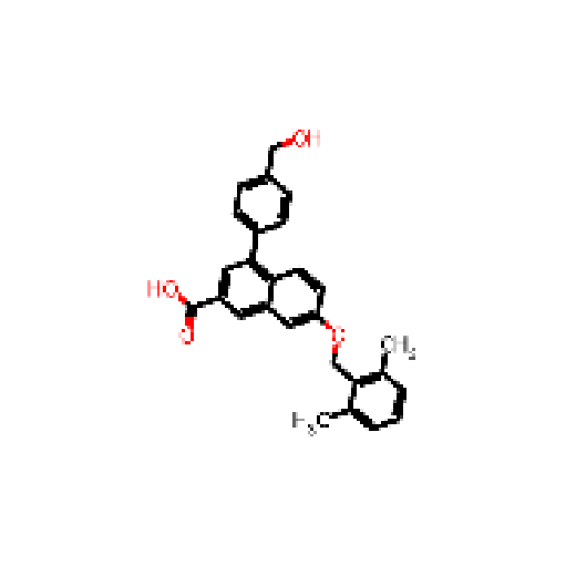 Cc1cccc(C)c1COc1ccc2c(-c3ccc(CO)cc3)cc(C(=O)O)cc2c1